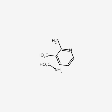 NC(=O)O.Nc1ncccc1C(=O)O